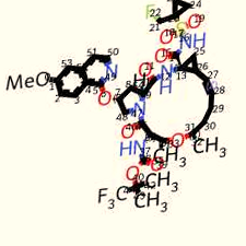 COc1ccc2c(O[C@@H]3C[C@H]4C(=O)N[C@]5(C(=O)NS(=O)(=O)C6(CF)CC6)CC5/C=C\CC[C@@H](C)O[C@@H](C)[C@H](NC(=O)OC(C)(C)C(F)(F)F)C(=O)N4C3)nccc2c1